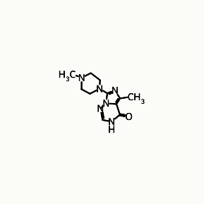 Cc1nc(N2CCN(C)CC2)n2nc[nH]c(=O)c12